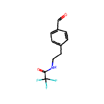 O=Cc1ccc(CCNC(=O)C(F)(F)F)cc1